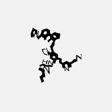 C=C(CCC)/N=C(\CC)CNCc1cc(Cl)c(CCc2cccc(-c3cccc(CN4CCCC4)c3C)c2C)cc1CCc1cncc(C#N)c1